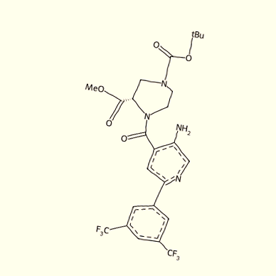 COC(=O)[C@@H]1CN(C(=O)OC(C)(C)C)CCN1C(=O)c1cc(-c2cc(C(F)(F)F)cc(C(F)(F)F)c2)ncc1N